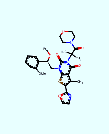 COc1ccccc1[C@H](Cn1c(=O)n(C(C)(C)C(=O)N2CCOCC2)c(=O)c2c(C)c(-c3ncco3)sc21)OC(C)C